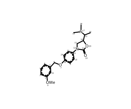 COc1cccc(COc2ccc(N3CC(C(C)N(C)C)OC3=O)cc2)c1